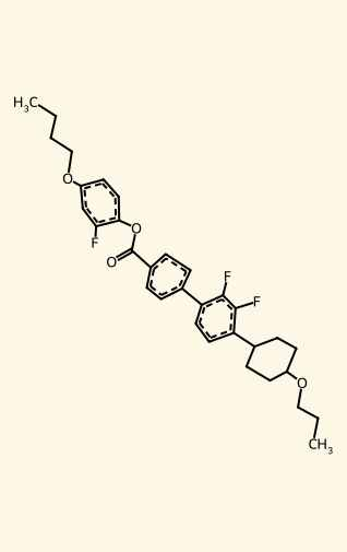 CCCCOc1ccc(OC(=O)c2ccc(-c3ccc(C4CCC(OCCC)CC4)c(F)c3F)cc2)c(F)c1